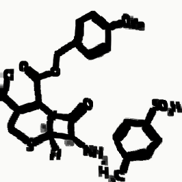 COc1ccc(COC(=O)C2=C(CCl)CS[C@H]3[C@H](N)C(=O)N23)cc1.Cc1ccc(S(=O)(=O)O)cc1